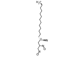 C=CCCCCCCCCCCC[C@H](C#N)CC(CN=O)N=O